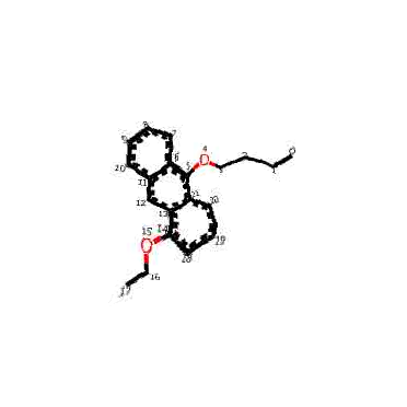 CCCCOc1c2ccccc2cc2c(OCC)cccc12